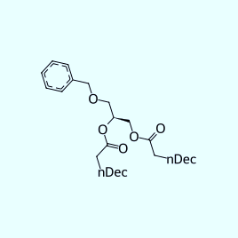 CCCCCCCCCCCC(=O)OC[C@H](COCc1ccccc1)OC(=O)CCCCCCCCCCC